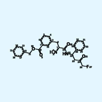 N[C@@H](Cc1cccc(C(=O)OCc2ccccc2)c1)C(=O)NC(CC(=O)CF)c1ccccc1